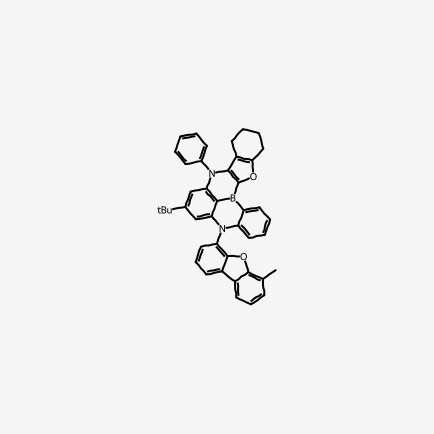 Cc1cccc2c1oc1c(N3c4ccccc4B4c5oc6c(c5N(c5ccccc5)c5cc(C(C)(C)C)cc3c54)CCCC6)cccc12